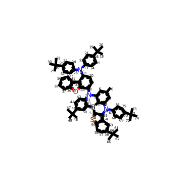 Cc1cc2c3c(c1)N(c1ccc(N(c4ccc(C(C)(C)C)cc4)c4ccc(C(C)(C)C)cc4)c4c1oc1ccccc14)c1ccc(C(C)(C)C)cc1B3c1sc3ccc(C(C)(C)C)cc3c1N2c1ccc(C(C)(C)C)cc1